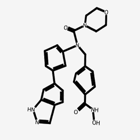 O=C(NO)c1ccc(CN(C(=O)N2CCOCC2)c2cccc(-c3ccc4cn[nH]c4c3)c2)cc1